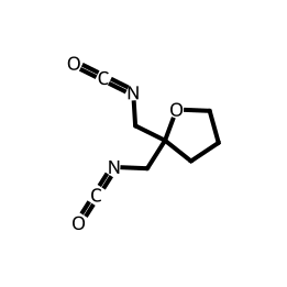 O=C=NCC1(CN=C=O)CCCO1